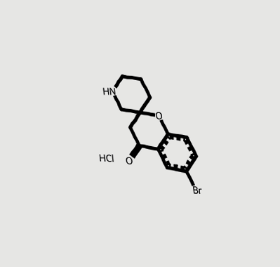 Cl.O=C1CC2(CCCNC2)Oc2ccc(Br)cc21